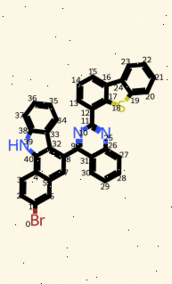 Brc1ccc2c(c1)cc(-c1nc(-c3cccc4c3sc3ccccc34)nc3ccccc13)c1c3ccccc3[nH]c21